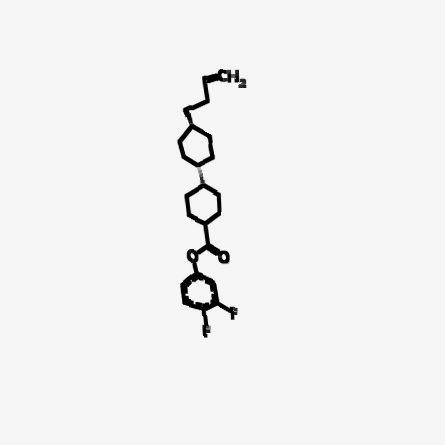 C=CCC[C@H]1CC[C@H](C2CCC(C(=O)Oc3ccc(F)c(F)c3)CC2)CC1